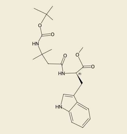 COC(=O)[C@@H](Cc1c[nH]c2ccccc12)NC(=O)CC(C)(C)NC(=O)OC(C)(C)C